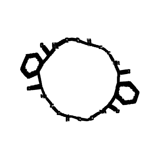 O=C1NCCNCCNC(=O)c2ccccc2C(=O)NCCNCCNC(=O)c2ccccc21